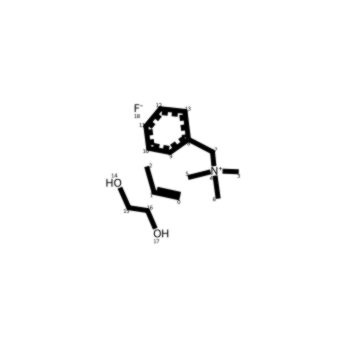 C=CC.C[N+](C)(C)Cc1ccccc1.OCCO.[F-]